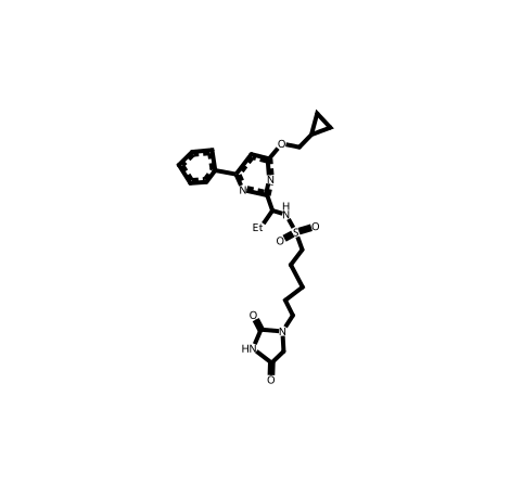 CCC(NS(=O)(=O)CCCCCN1CC(=O)NC1=O)c1nc(OCC2CC2)cc(-c2ccccc2)n1